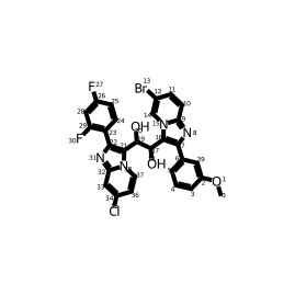 COc1cccc(-c2nc3ccc(Br)cn3c2C(O)C(O)c2c(-c3ccc(F)cc3F)nc3cc(Cl)ccn23)c1